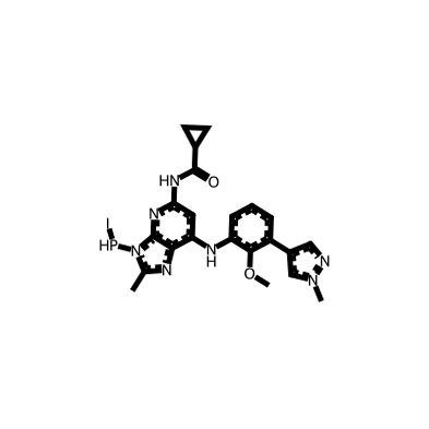 COc1c(Nc2cc(NC(=O)C3CC3)nc3c2nc(C)n3PI)cccc1-c1cnn(C)c1